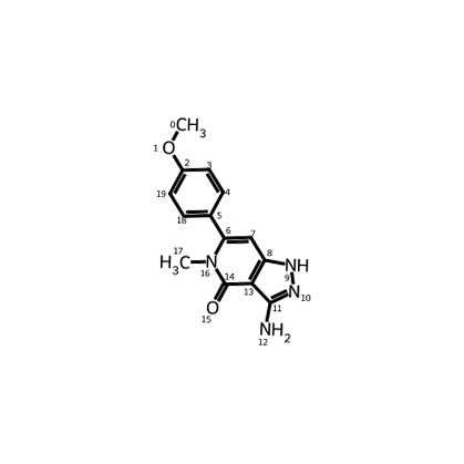 COc1ccc(-c2cc3[nH]nc(N)c3c(=O)n2C)cc1